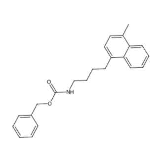 Cc1ccc(CCCCNC(=O)OCc2ccccc2)c2ccccc12